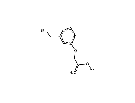 C=C(COc1cc(CC(C)(C)C)ccn1)OCC